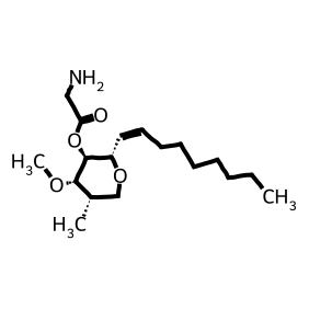 CCCCCCC/C=C\[C@@H]1OC[C@H](C)[C@H](OC)[C@H]1OC(=O)CN